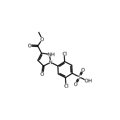 COC(=O)c1cc(=O)n(-c2cc(Cl)c(S(=O)(=O)O)cc2Cl)[nH]1